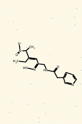 CCC(=CC(CNC(=O)Cc1cccnc1)=NO)C(C)[N+](=O)[O-]